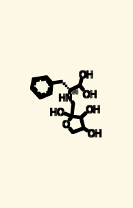 OC1COC(O)(CN[C@H](Cc2ccccc2)C(O)O)C1O